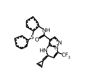 O=C(Nc1ccccc1Sc1ccccc1)c1cnn2c1NC(=C1C=C1)C=C2C(F)(F)F